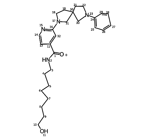 O=C(NCCCCCCCCO)c1ccnc(N2CCC3(CCN(c4ccccc4)C3)C2)c1